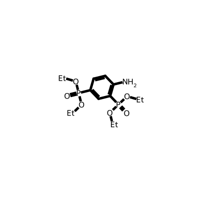 CCOP(=O)(OCC)c1ccc(N)c(P(=O)(OCC)OCC)c1